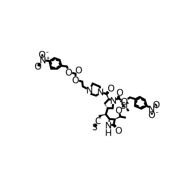 CC(O[Si](C)(C)C)[C@H]1C(=O)N[C@H]1[C@@H](C=C=S)[C@@H]1C[C@@H](C(=O)N2CCN(CCOC(=O)OCc3ccc([N+](=O)[O-])cc3)CC2)N(C(=O)OCc2ccc([N+](=O)[O-])cc2)C1